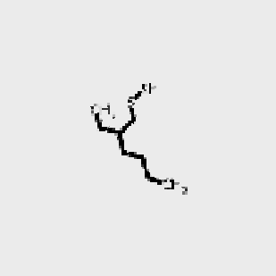 CCCCC(CC)CSS